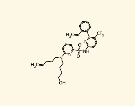 C=CCCCN(CCCCO)c1cccc(S(=O)(=O)Nc2ccc(C(F)(F)F)c(-c3ccccc3C=C)n2)n1